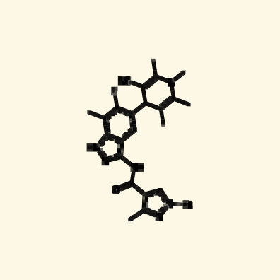 CCn1cc(C(=O)Nc2n[nH]c3c(C)c(F)c(C4C(C)=C(C)N(C)C(C)=C4C#N)cc23)c(C)n1